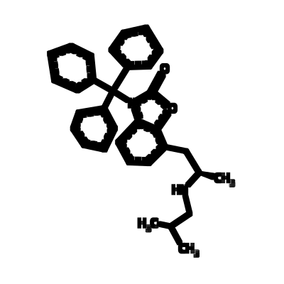 CC(C)CN[C@H](C)Cc1cccc2c1oc(=O)n2C(c1ccccc1)(c1ccccc1)c1ccccc1